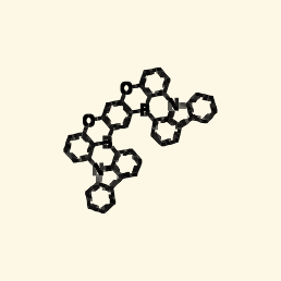 c1cc2c3c(c1)-n1c4ccccc4c4cccc(c41)B3c1cc3c(cc1O2)Oc1cccc2c1B3c1cccc3c4ccccc4n-2c13